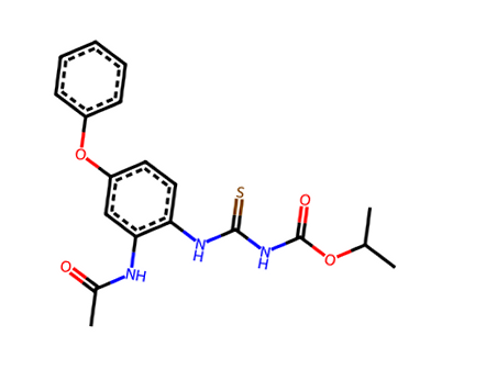 CC(=O)Nc1cc(Oc2ccccc2)ccc1NC(=S)NC(=O)OC(C)C